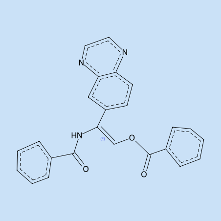 O=C(N/C(=C/OC(=O)c1ccccc1)c1ccc2nccnc2c1)c1ccccc1